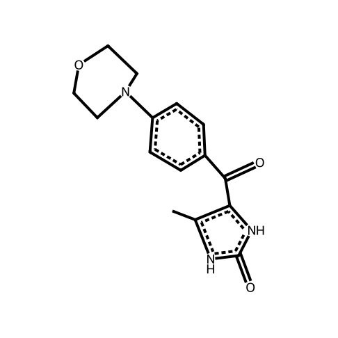 Cc1[nH]c(=O)[nH]c1C(=O)c1ccc(N2CCOCC2)cc1